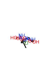 CCCCCCCc1cccc2c(OC(=O)N(CCNC)CCOCCO)cc3c(c12)[C@H](CCl)CN3C(=O)c1cn2cc(NC(=O)c3ccc(O)cc3)ccc2n1